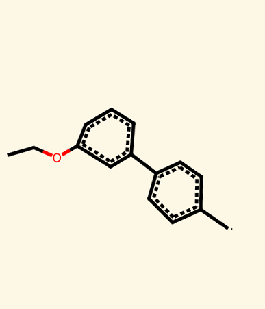 [CH2]c1ccc(-c2cccc(OCC)c2)cc1